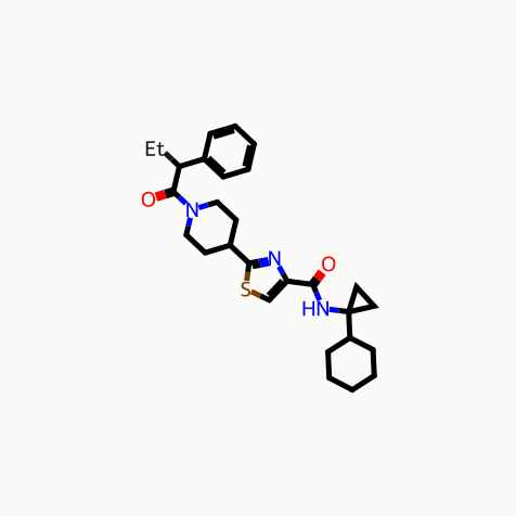 CCC(C(=O)N1CCC(c2nc(C(=O)NC3(C4CCCCC4)CC3)cs2)CC1)c1ccccc1